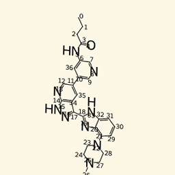 CCCC(=O)Nc1cncc(-c2cnc3[nH]nc(-c4nc5c(N6CCN(C)CC6)cccc5[nH]4)c3c2)c1